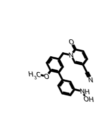 COc1ccc(Cn2cc(C#N)ccc2=O)cc1-c1cccc(NO)c1